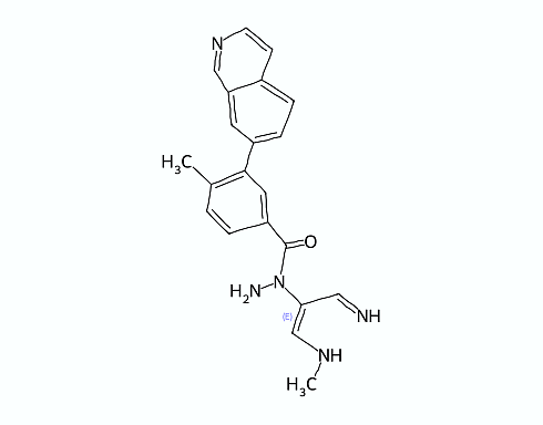 CN/C=C(\C=N)N(N)C(=O)c1ccc(C)c(-c2ccc3ccncc3c2)c1